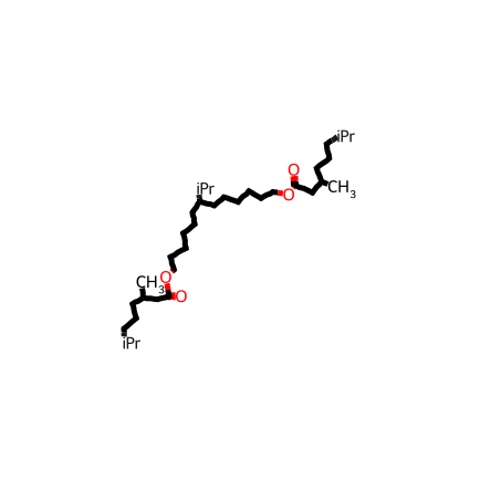 CC(C)CCCC(C)CC(=O)OCCCCCCC(CCCCCCOC(=O)CC(C)CCCC(C)C)C(C)C